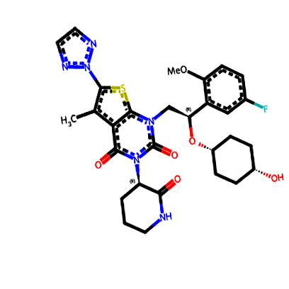 COc1ccc(F)cc1[C@H](Cn1c(=O)n([C@@H]2CCCNC2=O)c(=O)c2c(C)c(-n3nccn3)sc21)O[C@H]1CC[C@@H](O)CC1